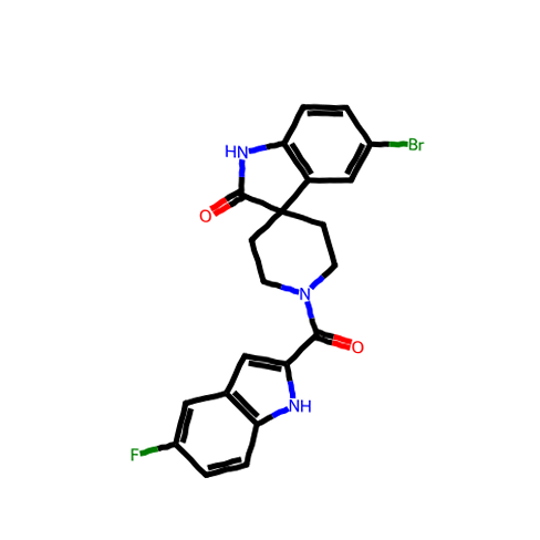 O=C(c1cc2cc(F)ccc2[nH]1)N1CCC2(CC1)C(=O)Nc1ccc(Br)cc12